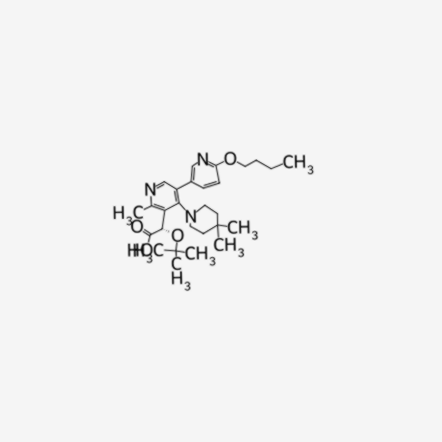 CCCCOc1ccc(-c2cnc(C)c([C@H](OC(C)(C)C)C(=O)O)c2N2CCC(C)(C)CC2)cn1